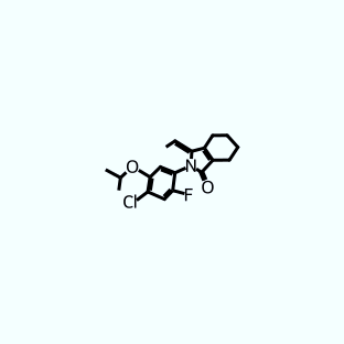 CC=C1C2=C(CCCC2)C(=O)N1c1cc(OC(C)C)c(Cl)cc1F